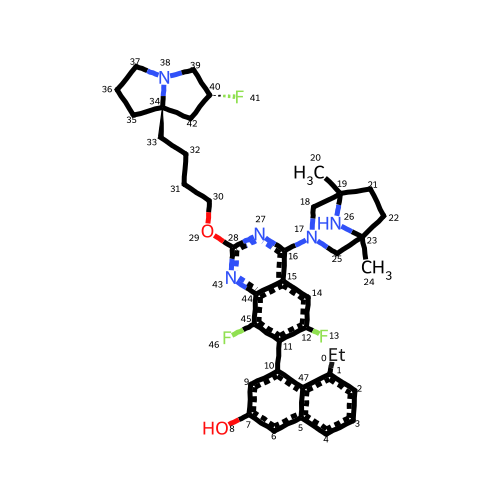 CCc1cccc2cc(O)cc(-c3c(F)cc4c(N5CC6(C)CCC(C)(C5)N6)nc(OCCCC[C@@]56CCCN5C[C@H](F)C6)nc4c3F)c12